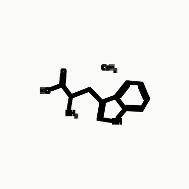 NC(Cc1c[nH]c2ccccc12)C(=O)O.[CaH2]